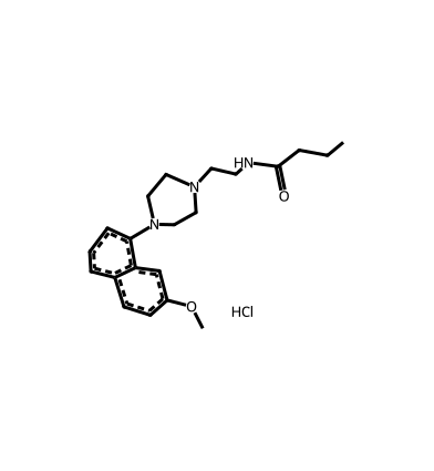 CCCC(=O)NCCN1CCN(c2cccc3ccc(OC)cc23)CC1.Cl